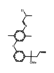 C=CCC(C)(OC)c1cccc(Oc2cc(C)c(N=CN(C)CC)cc2C)c1